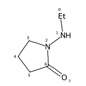 CCNN1CCCC1=O